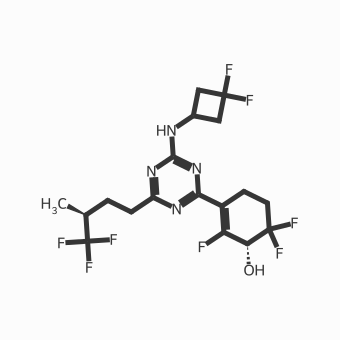 C[C@@H](CCc1nc(NC2CC(F)(F)C2)nc(C2=C(F)[C@@H](O)C(F)(F)CC2)n1)C(F)(F)F